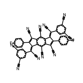 N#CC1=C(c2ccc(F)cc2)/C(=C(/C#N)c2cc(C#N)cc(C#N)c2)c2c(C#N)c3c(c(C#N)c21)/C(=C(\C#N)c1cc(C#N)cc(C#N)c1)C(c1ccc(F)cc1)=C3C#N